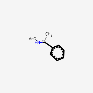 CC(=O)ON[C@H](C)c1ccccc1